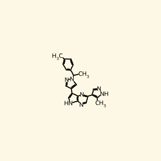 Cc1ccc(C(C)n2cc(-c3c[nH]c4ncc(-c5cn[nH]c5C)nc34)cn2)cc1